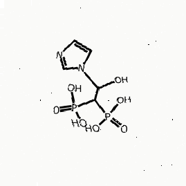 O=P(O)(O)C(C(O)n1ccnc1)P(=O)(O)O